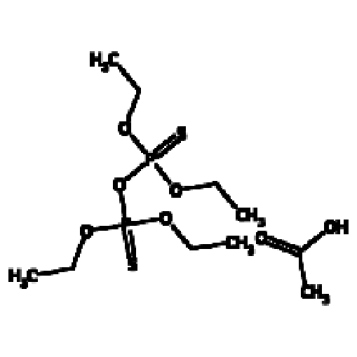 CC(=O)O.CCOP(=S)(OCC)OP(=S)(OCC)OCC